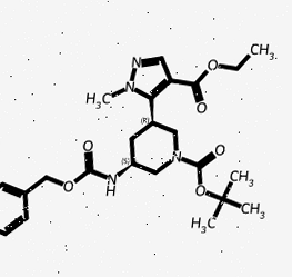 CCOC(=O)c1cnn(C)c1[C@@H]1C[C@H](NC(=O)OCc2ccccc2)CN(C(=O)OC(C)(C)C)C1